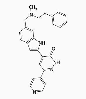 CN(CCc1ccccc1)Cc1ccc2cc(-c3cc(-c4ccncc4)n[nH]c3=O)[nH]c2c1